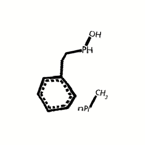 CCCC.OPCc1ccccc1